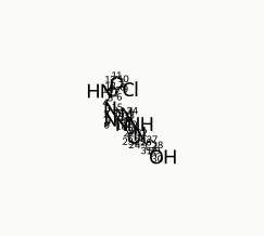 CN1CN(Cc2cc3c(Cl)cccc3[nH]2)C=C2C1=NC(Nc1cccc(C3CCC(O)C3)n1)N2C